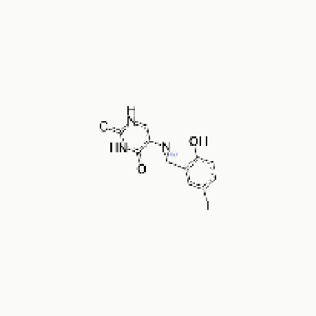 O=c1[nH]cc(/N=C/c2cc(I)ccc2O)c(=O)[nH]1